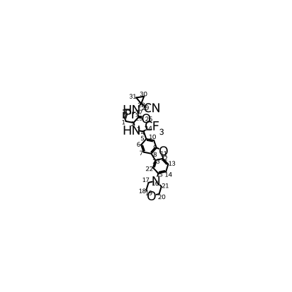 CC(C)CC(NC(c1ccc2c(c1)oc1ccc(N3CCOCC3)cc12)C(F)(F)F)C(=O)NC1(C#N)CC1